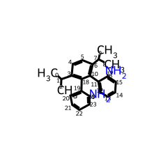 CC(C)c1ccc(C(C)C)c(-c2ccccc2N)c1-c1ccccc1N